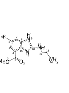 COC(=O)c1cc(F)cc2[nH]c(NCCN)nc12